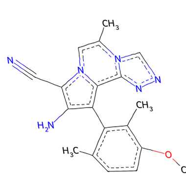 COc1ccc(C)c(-c2c(N)c(C#N)n3cc(C)n4cnnc4c23)c1C